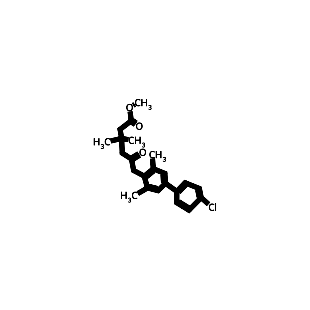 COC(=O)CC(C)(C)CC(=O)Cc1c(C)cc(-c2ccc(Cl)cc2)cc1C